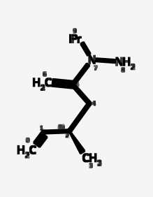 C=C[C@H](C)CC(=C)N(N)C(C)C